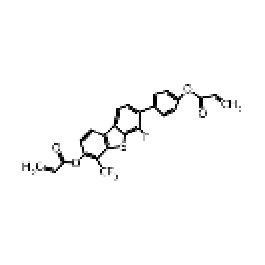 C=CC(=O)Oc1ccc(-c2ccc3c(sc4c(C(F)(F)F)c(OC(=O)C=C)ccc43)c2F)cc1